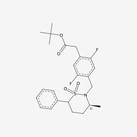 C[C@H]1CCC(c2ccccc2)S(=O)(=O)N1Cc1cc(F)c(CC(=O)OC(C)(C)C)cc1F